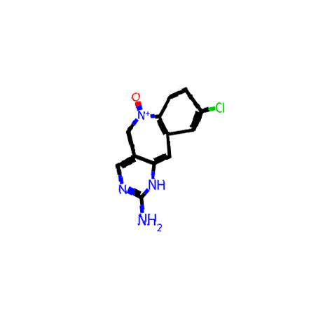 NC1=NC=C2C[N+](=O)C3=C(C=C(Cl)CC3)C=C2N1